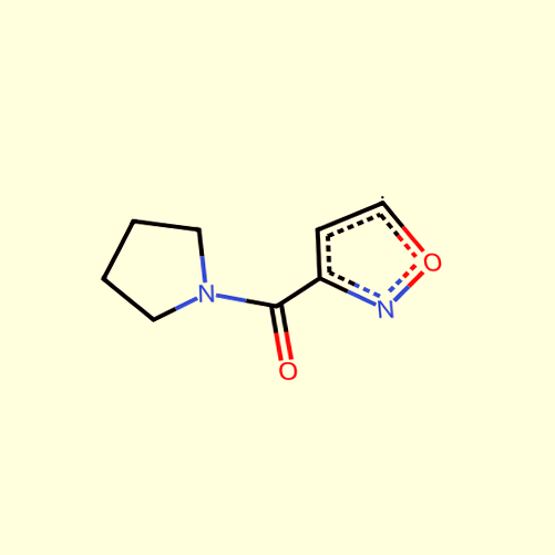 O=C(c1c[c]on1)N1CCCC1